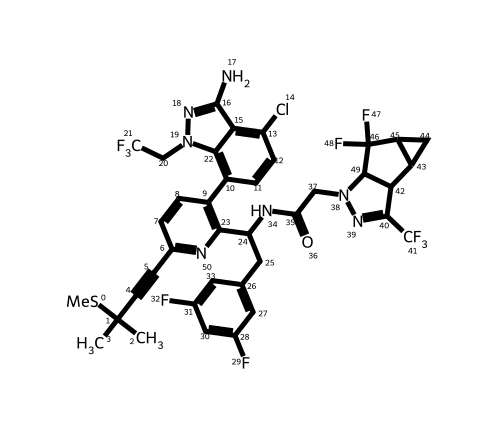 CSC(C)(C)C#Cc1ccc(-c2ccc(Cl)c3c(N)nn(CC(F)(F)F)c23)c(C(Cc2cc(F)cc(F)c2)NC(=O)CN2N=C(C(F)(F)F)C3C4CC4C(F)(F)C32)n1